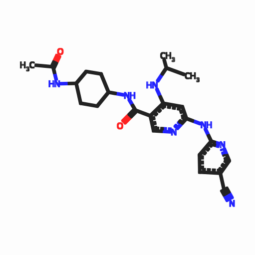 CC(=O)NC1CCC(NC(=O)c2cnc(Nc3ccc(C#N)cn3)cc2NC(C)C)CC1